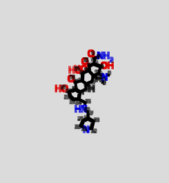 CN(C)[C@@H]1C(O)=C(C(N)=O)C(=O)[C@@]2(O)C(O)=C3C(=O)c4c(O)ccc(CNCc5ccncc5)c4C[C@H]3C[C@@H]12